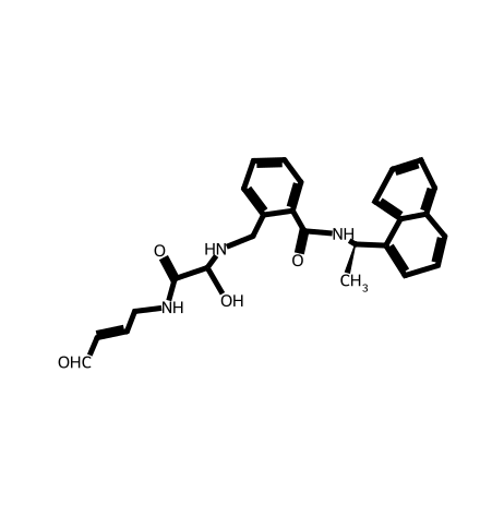 C[C@@H](NC(=O)c1ccccc1CNC(O)C(=O)NC/C=C/C=O)c1cccc2ccccc12